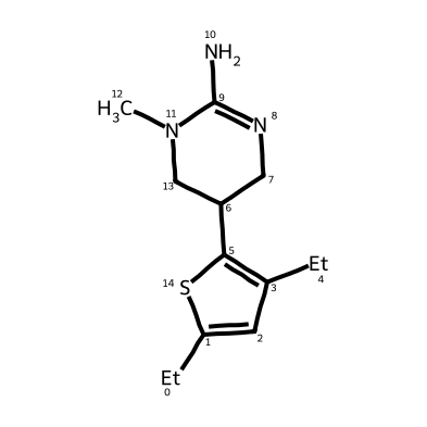 CCc1cc(CC)c(C2CN=C(N)N(C)C2)s1